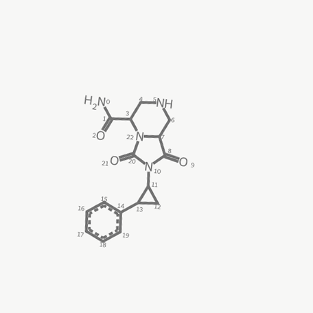 NC(=O)C1CNCC2C(=O)N(C3CC3c3ccccc3)C(=O)N12